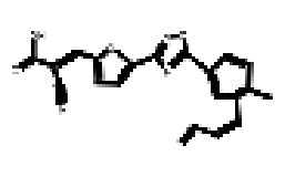 C=C/C=C\c1cc(-c2nc(-c3ccc(/C=C(\C#N)C(=O)O)s3)no2)ccc1C